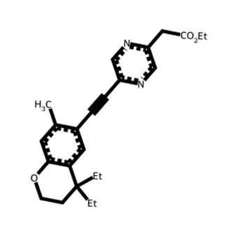 CCOC(=O)Cc1cnc(C#Cc2cc3c(cc2C)OCCC3(CC)CC)cn1